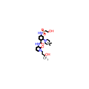 C[Si]1(C)CCN(c2cc(NS(=O)(=O)CCO)ccc2C(=O)Nc2cccn(CC[C@@H](O)C(F)(F)F)c2=O)CC1